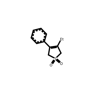 CCC1=C(c2ccccc2)CS(=O)(=O)C1